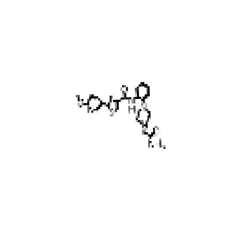 COc1ccc(-c2nc(C(=O)Nc3ccccc3N3CCN(CC(N)=O)CC3)cs2)cn1